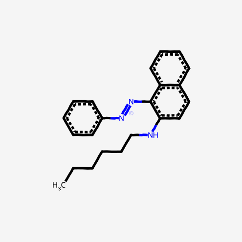 CCCCCCNc1ccc2ccccc2c1/N=N/c1ccccc1